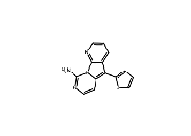 Nc1nccc2c(-c3cccs3)c3cccnc3n12